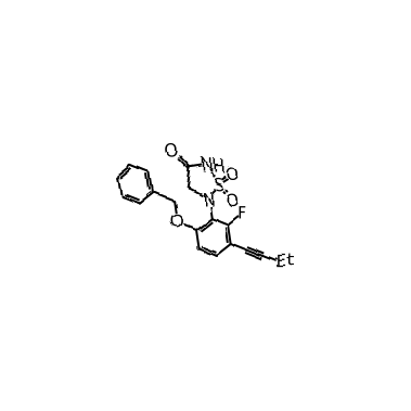 CCC#Cc1ccc(OCc2ccccc2)c(N2CC(=O)NS2(=O)=O)c1F